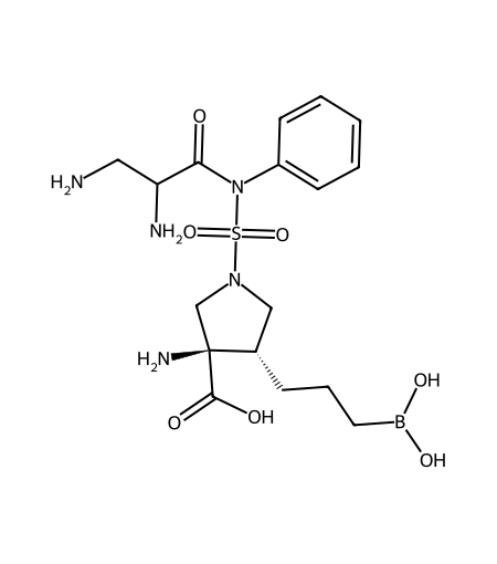 NCC(N)C(=O)N(c1ccccc1)S(=O)(=O)N1C[C@H](CCCB(O)O)[C@](N)(C(=O)O)C1